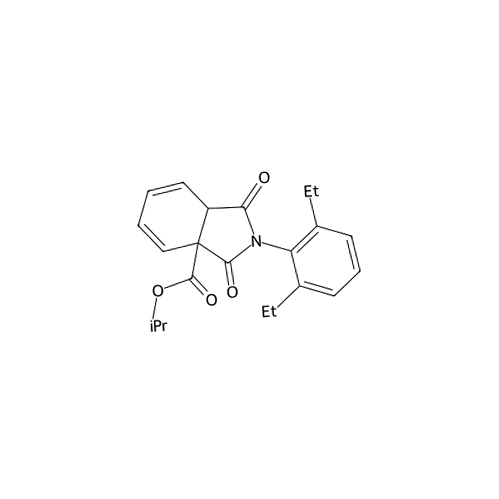 CCc1cccc(CC)c1N1C(=O)C2C=CC=CC2(C(=O)OC(C)C)C1=O